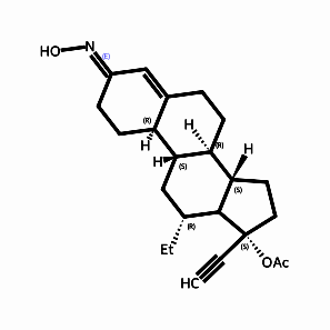 C#C[C@]1(OC(C)=O)CC[C@@H]2C1[C@H](CC)C[C@H]1[C@H]2CCC2=C/C(=N/O)CC[C@@H]21